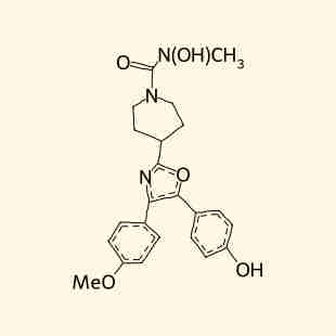 COc1ccc(-c2nc(C3CCN(C(=O)N(C)O)CC3)oc2-c2ccc(O)cc2)cc1